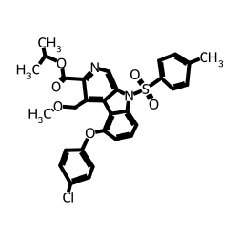 COCc1c(C(=O)OC(C)C)ncc2c1c1c(Oc3ccc(Cl)cc3)cccc1n2S(=O)(=O)c1ccc(C)cc1